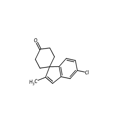 CC1=Cc2cc(Cl)ccc2C12CCC(=O)CC2